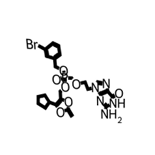 C=C1OC(COP(=O)(COCCn2cnc3c(=O)[nH]c(N)nc32)OCc2cccc(Br)c2)=C(C2CCCC2)O1